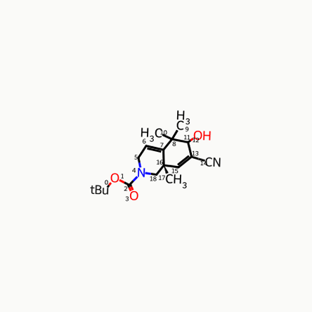 CC(C)(C)OC(=O)N1CC=C2C(C)(C)C(O)C(C#N)=C[C@]2(C)C1